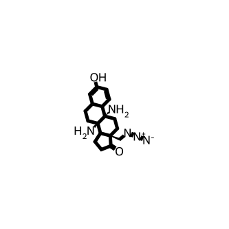 [N-]=[N+]=NC[C@]12CC[C@]3(N)C4C=CC(O)=CC4CC[C@@]3(N)C1CCC2=O